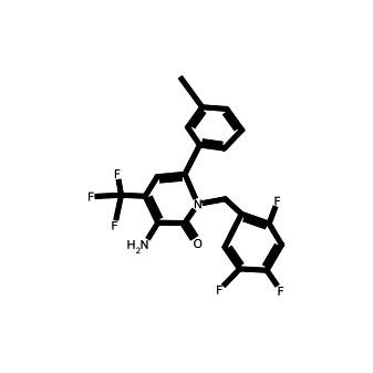 Cc1cccc(-c2cc(C(F)(F)F)c(N)c(=O)n2Cc2cc(F)c(F)cc2F)c1